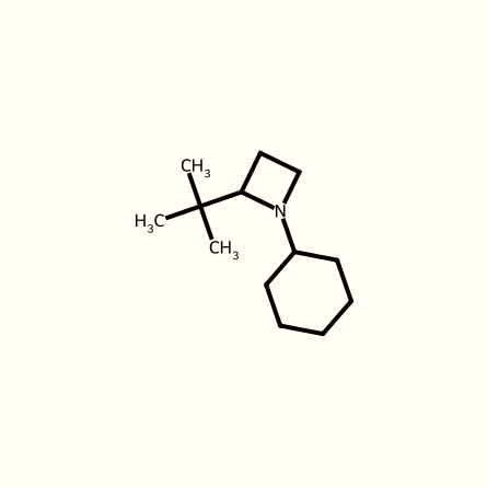 CC(C)(C)C1CCN1C1CCCCC1